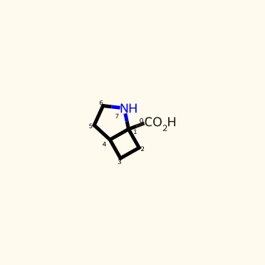 O=C(O)C12CCC1CCN2